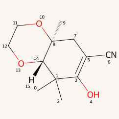 CC1(C)C(O)=C(C#N)C[C@]2(C)OCCO[C@@H]12